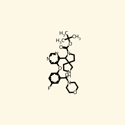 CC(C)(C)OC(=O)N1CCC2(CCNC2)C1c1ncncc1Oc1ccc(F)cc1C(=O)N1CCOCC1